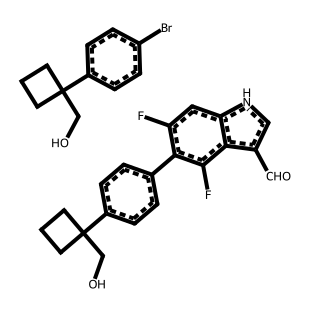 O=Cc1c[nH]c2cc(F)c(-c3ccc(C4(CO)CCC4)cc3)c(F)c12.OCC1(c2ccc(Br)cc2)CCC1